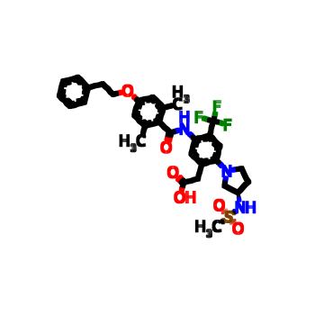 Cc1cc(OCCc2ccccc2)cc(C)c1C(=O)Nc1cc(CC(=O)O)c(N2CC[C@@H](NS(C)(=O)=O)C2)cc1C(F)(F)F